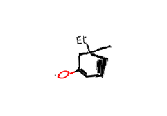 CCC1(C)C=CC=C([O])C1